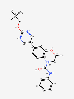 CC(=O)C(C)(C)COc1ncc(-c2ccc3c(c2)OC(C)CN3C(=O)Nc2ccccc2)cn1